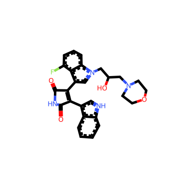 O=C1NC(=O)C(c2cn(CC(O)CN3CCOCC3)c3cccc(F)c23)=C1c1c[nH]c2ccccc12